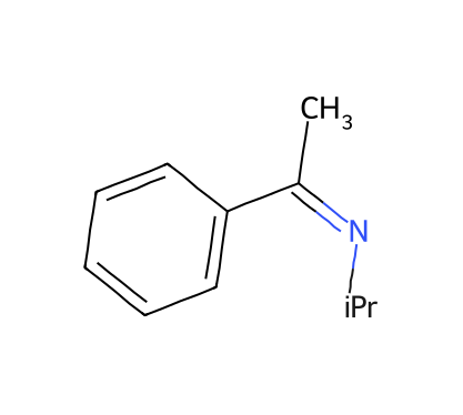 C/C(=N/C(C)C)c1ccccc1